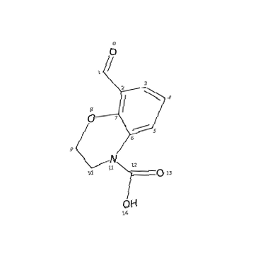 O=Cc1cccc2c1OCCN2C(=O)O